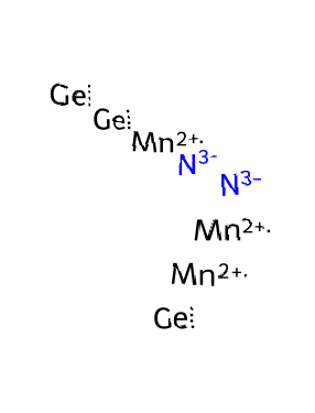 [Ge].[Ge].[Ge].[Mn+2].[Mn+2].[Mn+2].[N-3].[N-3]